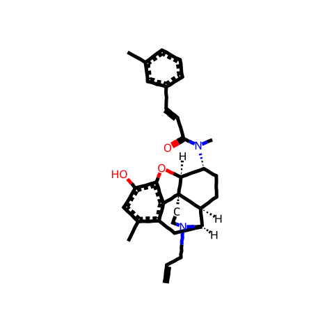 C=CCN1CC[C@]23c4c5c(C)cc(O)c4O[C@H]2[C@H](N(C)C(=O)C=Cc2cccc(C)c2)CC[C@H]3[C@H]1C5